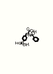 O=C(N[C@@H](Cc1ccc(B(O)O)cc1)C(=O)O)c1ccccc1